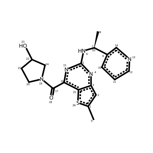 Cc1cc2nc(N[C@@H](C)c3cccnc3)nc(C(=O)N3CCC(O)C3)c2s1